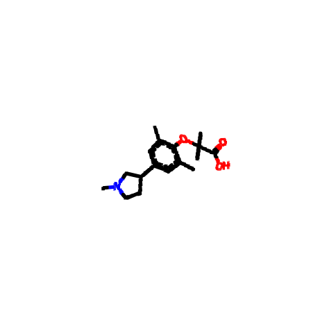 Cc1cc(C2CCN(C)C2)cc(C)c1OC(C)(C)C(=O)O